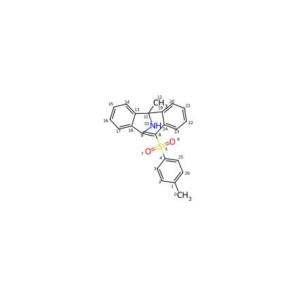 Cc1ccc(S(=O)(=O)C2=C3NC(C)(c4ccccc43)c3ccccc32)cc1